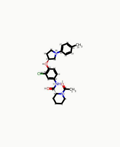 CC(=O)N1CCCC[C@@H]1C(=O)Nc1ccc(O[C@H]2CCN(c3ccc(C)cc3)C2)c(Cl)c1